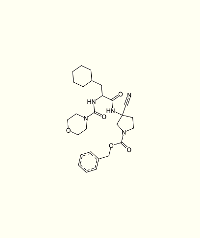 N#CC1(NC(=O)C(CC2CCCCC2)NC(=O)N2CCOCC2)CCN(C(=O)OCc2ccccc2)C1